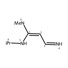 CN/C(=C/C=N)NC(C)C